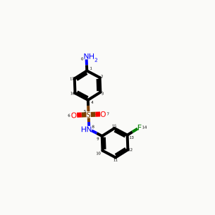 Nc1ccc(S(=O)(=O)Nc2cccc(F)c2)cc1